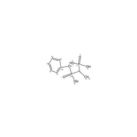 CC(P(=O)(O)O)P(=O)(O)Oc1ccccc1